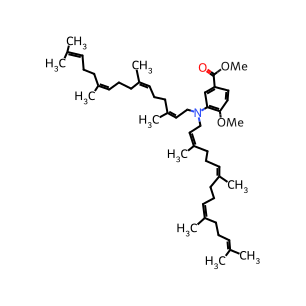 COC(=O)c1ccc(OC)c(N(CC=C(C)CCC=C(C)CCC=C(C)CCC=C(C)C)CC=C(C)CCC=C(C)CCC=C(C)CCC=C(C)C)c1